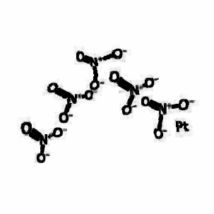 O=[N+]([O-])[O-].O=[N+]([O-])[O-].O=[N+]([O-])[O-].O=[N+]([O-])[O-].O=[N+]([O-])[O-].[Pt]